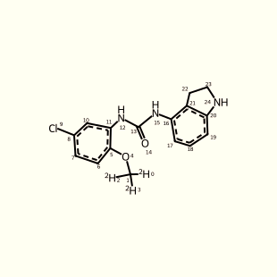 [2H]C([2H])([2H])Oc1ccc(Cl)cc1NC(=O)Nc1cccc2c1CCN2